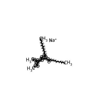 CCCCCCCCCCCCCC(=O)OC[C@H](COP(=O)([O-])OCC(COC(=O)OCC)OC(=O)OCC)OC(=O)CCCCCCCCCCCCC.[Na+]